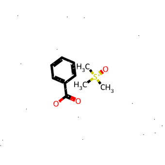 C[S+](C)(C)=O.O=C([O-])c1ccccc1